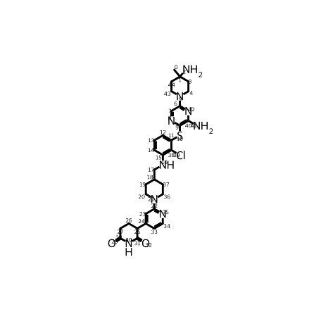 CC1(N)CCN(c2cnc(Sc3cccc(NCC4CCN(c5cc(C6CCC(=O)NC6=O)ccn5)CC4)c3Cl)c(N)n2)CC1